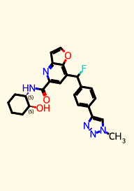 Cn1cc(-c2ccc(C(F)c3cc(C(=O)N[C@H]4CCCC[C@@H]4O)nc4ccoc34)cc2)nn1